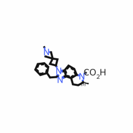 C[C@H]1CCc2c(ccc3c2nc(Cc2ccccc2)n3C2CC3(C2)CN(C)C3)N1C(=O)O